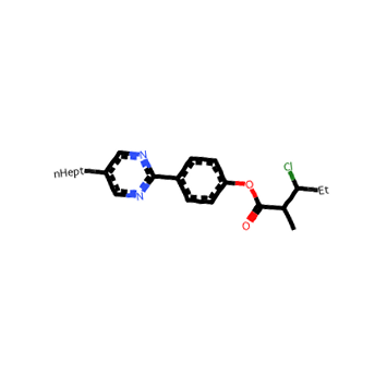 CCCCCCCc1cnc(-c2ccc(OC(=O)C(C)C(Cl)CC)cc2)nc1